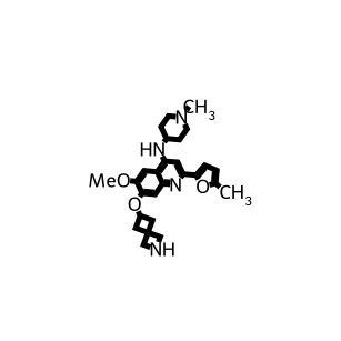 COc1cc2c(NC3CCN(C)CC3)cc(-c3ccc(C)o3)nc2cc1OC1CC2(CNC2)C1